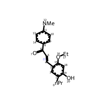 CCCc1cc(/C=C/C(=O)c2ccc(NC)cc2)c(OCC)cc1O